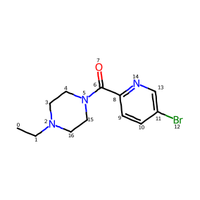 CCN1CCN(C(=O)c2ccc(Br)cn2)CC1